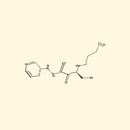 CC(C)C[C@H](NCCCC(=O)O)C(=O)C(=O)NNc1cccnc1